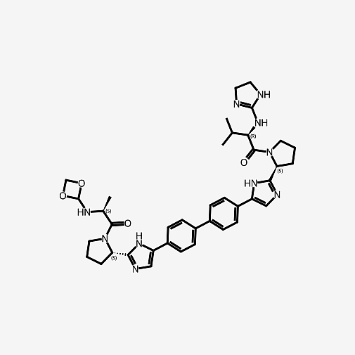 CC(C)[C@@H](NC1=NCCN1)C(=O)N1CCC[C@H]1c1ncc(-c2ccc(-c3ccc(-c4cnc([C@@H]5CCCN5C(=O)[C@H](C)NC5OCO5)[nH]4)cc3)cc2)[nH]1